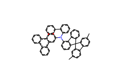 Cc1ccc2c(c1)C1(c3cc(C)ccc3-2)c2ccccc2-c2c(N(c3ccc4c5ccccc5c5ccccc5c4c3)c3ccccc3-c3ccccc3)cccc21